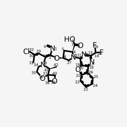 C=N/C(O[C@H]1C[C@@H](C(=O)O)N(c2nc(C(F)F)nc3c2oc2ccccc23)C1)=C(\C=C(/C)Cl)N1CCOC2(COC2)[C@@H]1C